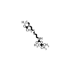 CCN(CCSSCCNC(=O)OC(C)(C)C)C(C)=O